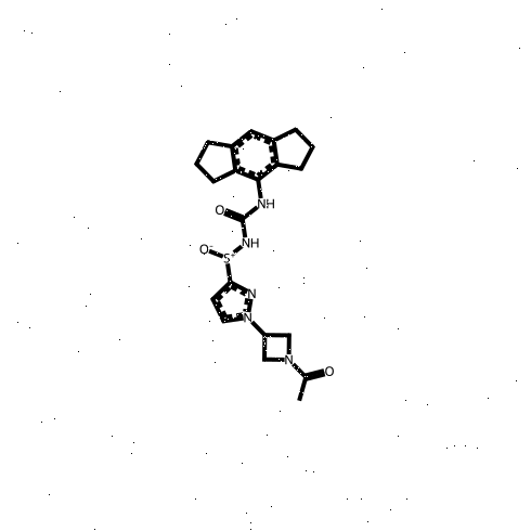 CC(=O)N1CC(n2ccc([S+]([O-])NC(=O)Nc3c4c(cc5c3CCC5)CCC4)n2)C1